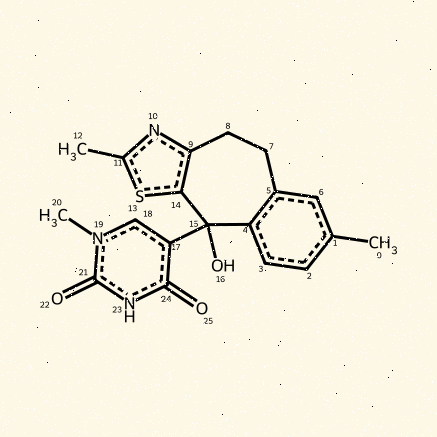 Cc1ccc2c(c1)CCc1nc(C)sc1C2(O)c1cn(C)c(=O)[nH]c1=O